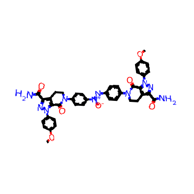 COc1ccc(-n2nc(C(N)=O)c3c2C(=O)N(c2ccc(/N=[N+](\[O-])c4ccc(N5CCc6c(C(N)=O)nn(-c7ccc(OC)cc7)c6C5=O)cc4)cc2)CC3)cc1